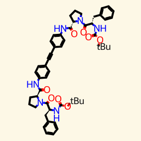 CC(C)(C)OC(=O)N[C@@H](Cc1ccccc1)C(=O)N1CCC[C@H]1C(=O)Nc1ccc(C#Cc2ccc(NC(=O)[C@@H]3CCCN3C(=O)[C@H](Cc3ccccc3)NC(=O)OC(C)(C)C)cc2)cc1